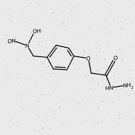 NNC(=O)COc1ccc(CN(O)N=O)cc1